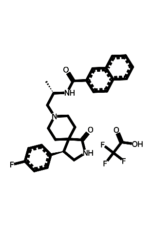 C[C@@H](CN1CCC2(CC1)C(=O)NC[C@H]2c1ccc(F)cc1)NC(=O)c1ccc2ccccc2c1.O=C(O)C(F)(F)F